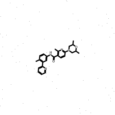 Cc1ccc(NC(=O)c2ccc(N3CC(C)OC(C)C3)nc2C)cc1-c1ccccn1